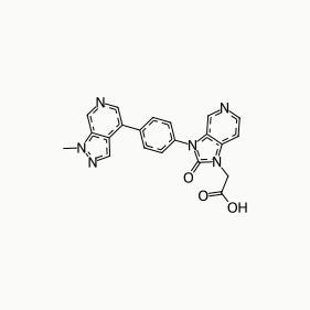 Cn1ncc2c(-c3ccc(-n4c(=O)n(CC(=O)O)c5ccncc54)cc3)cncc21